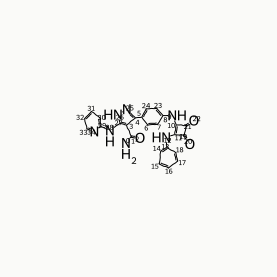 NC(=O)c1c(-c2ccc(Nc3c(Nc4ccccc4)c(=O)c3=O)cc2)n[nH]c1Nc1ccccn1